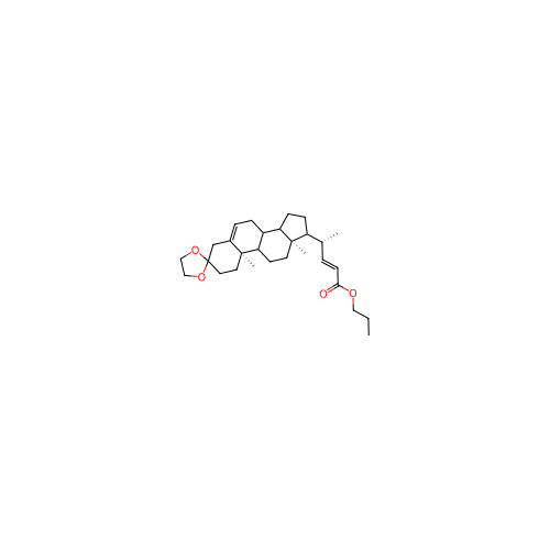 CCCOC(=O)/C=C/[C@@H](C)C1CCC2C3CC=C4CC5(CC[C@]4(C)C3CC[C@@]21C)OCCO5